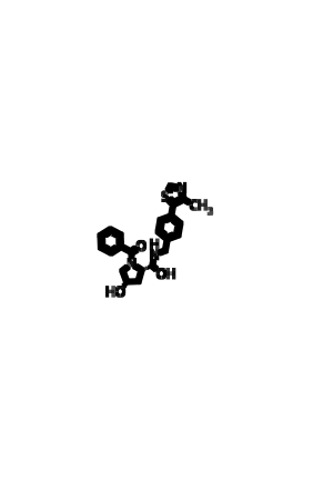 Cc1ncsc1-c1ccc(CNC(O)[C@@H]2C[C@@H](O)CN2C(=O)c2ccccc2)cc1